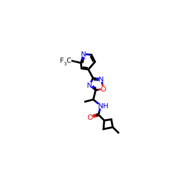 CC1CC(C(=O)NC(C)c2nc(-c3ccnc(C(F)(F)F)c3)no2)C1